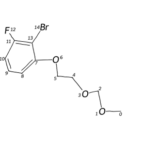 COCOCCOc1cccc(F)c1Br